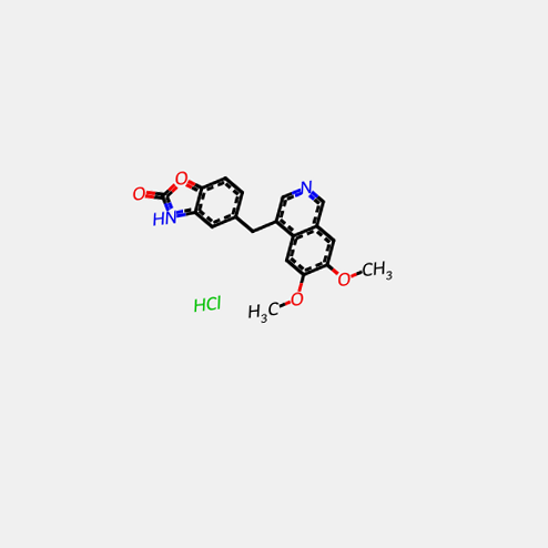 COc1cc2cncc(Cc3ccc4oc(=O)[nH]c4c3)c2cc1OC.Cl